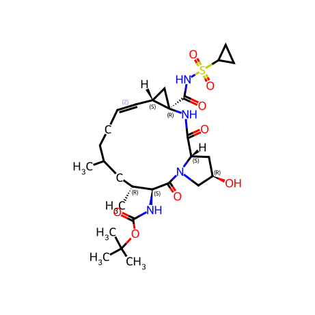 CC1CC/C=C\[C@@H]2C[C@@]2(C(=O)NS(=O)(=O)C2CC2)NC(=O)[C@@H]2C[C@@H](O)CN2C(=O)[C@@H](NC(=O)OC(C)(C)C)[C@H](C)C1